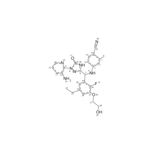 [CH2]c1cc(NC(c2nn(-c3ncccc3N)c(=O)[nH]2)c2cc(CC)cc(OCCO)c2F)ccc1C#N